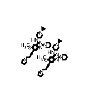 COc1cc2c(NC3CCN(C4CC4)CC3)nc(N3CCCCC3)nc2cc1C#CCCN1CCCC1.COc1cc2c(NC3CCN(C4CC4)CC3)nc(N3CCCCC3)nc2cc1C#CCCN1CCCC1